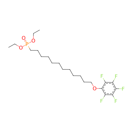 CCOP(=O)(CCCCCCCCCCCCOc1c(F)c(F)c(F)c(F)c1F)OCC